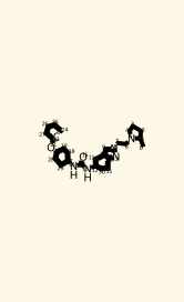 CC1CCCN1CCn1cc2cc(NC(=O)Nc3ccc(Oc4ccccc4)cc3)ccc2n1